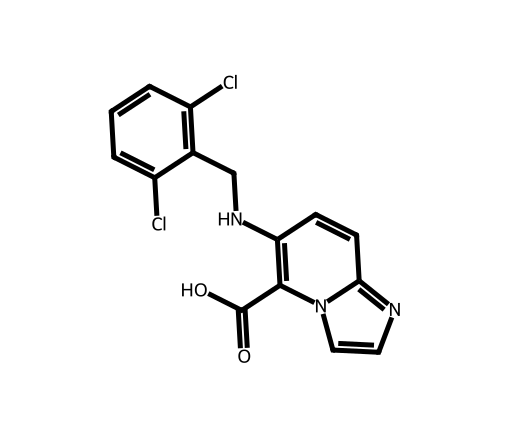 O=C(O)c1c(NCc2c(Cl)cccc2Cl)ccc2nccn12